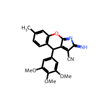 COc1cc(C2C3=C(C#N)C(=N)N=C3Oc3cc(C)ccc32)cc(OC)c1OC